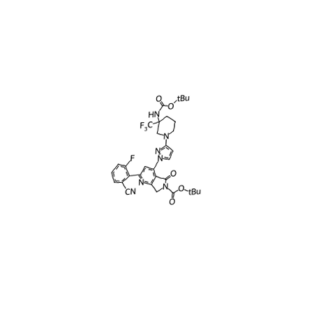 CC(C)(C)OC(=O)NC1(C(F)(F)F)CCCN(c2ccn(-c3cc(-c4c(F)cccc4C#N)nc4c3C(=O)N(C(=O)OC(C)(C)C)C4)n2)C1